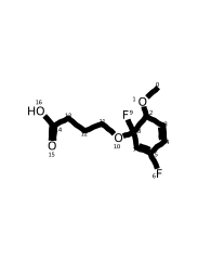 COC1[C]=CC(F)=CC1(F)OCCCC(=O)O